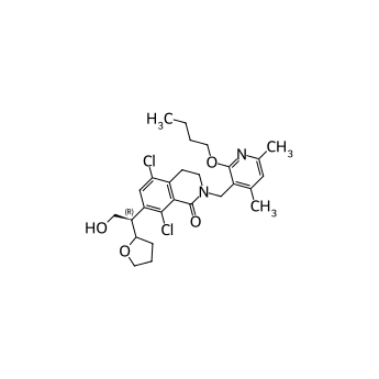 CCCCOc1nc(C)cc(C)c1CN1CCc2c(Cl)cc([C@H](CO)C3CCCO3)c(Cl)c2C1=O